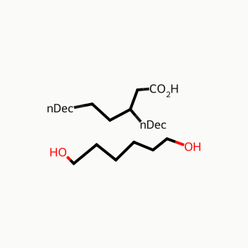 CCCCCCCCCCCCC(CCCCCCCCCC)CC(=O)O.OCCCCCCO